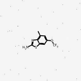 Cc1cc(OC(F)(F)F)cc2sc(N)nc12